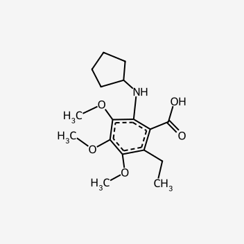 CCc1c(OC)c(OC)c(OC)c(NC2CCCC2)c1C(=O)O